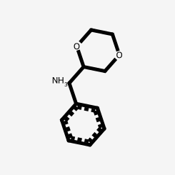 N.c1ccc(CC2COCCO2)cc1